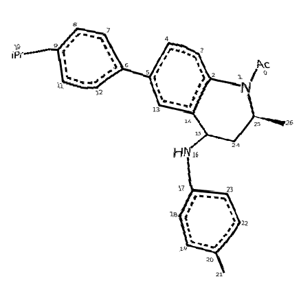 CC(=O)N1c2ccc(-c3ccc(C(C)C)cc3)cc2C(Nc2ccc(C)cc2)C[C@@H]1C